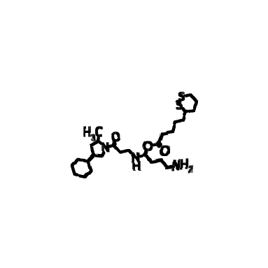 CC1CC(C2CCCCC2)CN1C(=O)CCNC(CCCN)OC(=O)CCCCC1CCCSS1